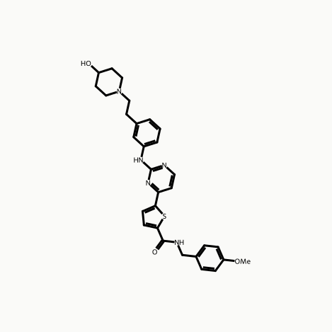 COc1ccc(CNC(=O)c2ccc(-c3ccnc(Nc4cccc(CCN5CCC(O)CC5)c4)n3)s2)cc1